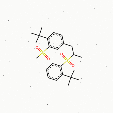 CC(Cc1ccc(C(C)(C)C)c(S(C)(=O)=O)c1)S(=O)(=O)c1ccccc1C(C)(C)C